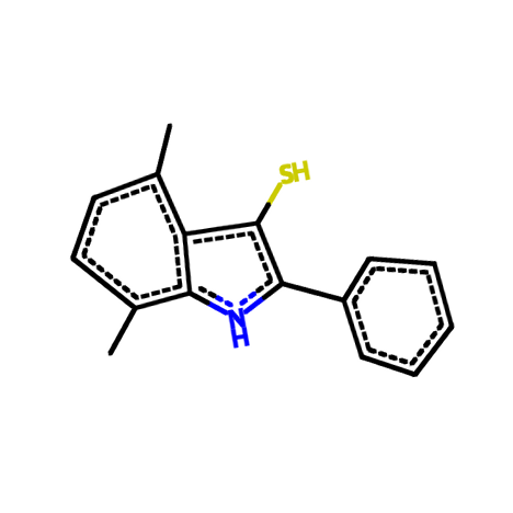 Cc1ccc(C)c2c(S)c(-c3ccccc3)[nH]c12